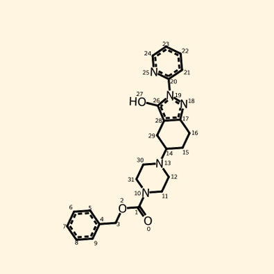 O=C(OCc1ccccc1)N1CCN(C2CCc3nn(-c4ccccn4)c(O)c3C2)CC1